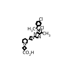 Cc1nn([C@H](C)c2ccc(Cl)cc2Cl)c2nc(N3CC([C@H]4CCCN([C@H]5C[C@@H](C(=O)O)C5)C4)C3)cnc12